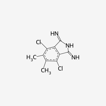 Cc1c(C)c(Cl)c2c(c1Cl)C(=N)NC2=N